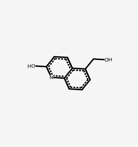 OCc1cccc2nc(O)ccc12